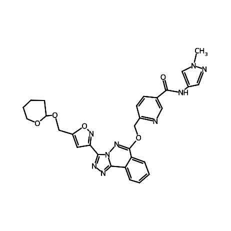 Cn1cc(NC(=O)c2ccc(COc3nn4c(-c5cc(COC6CCCCO6)on5)nnc4c4ccccc34)nc2)cn1